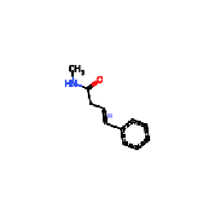 CNC(=O)C/C=C/c1ccccc1